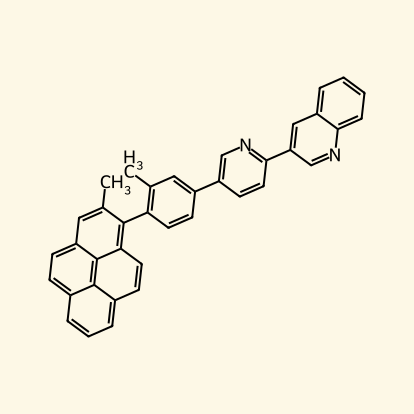 Cc1cc(-c2ccc(-c3cnc4ccccc4c3)nc2)ccc1-c1c(C)cc2ccc3cccc4ccc1c2c34